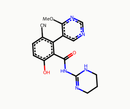 COc1ncncc1-c1c(C#N)ccc(O)c1C(=O)NC1=NCCCN1